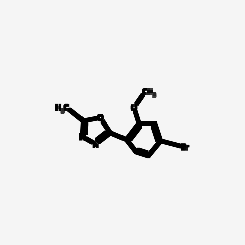 COc1cc(Br)ccc1-c1nnc(C)o1